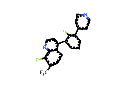 Fc1c(-c2ccncc2)cccc1-c1ccnc2c(F)c(C(F)(F)F)ccc12